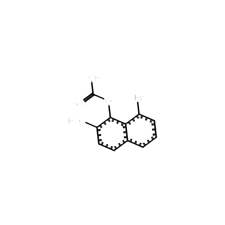 CC(=O)Oc1c(C)ccc2cccc(Br)c12